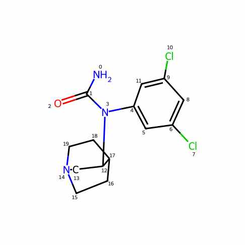 NC(=O)N(c1cc(Cl)cc(Cl)c1)C1CN2CCC1CC2